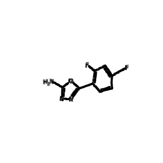 Nc1nnc(-c2ccc(F)cc2F)o1